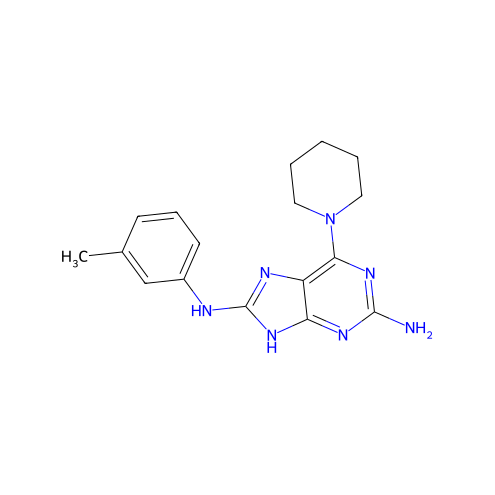 Cc1cccc(Nc2nc3c(N4CCCCC4)nc(N)nc3[nH]2)c1